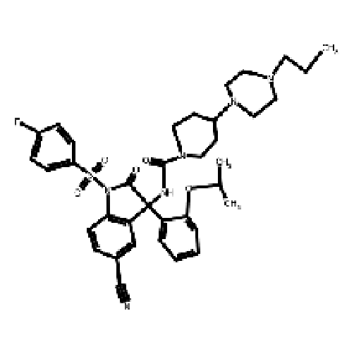 CCCN1CCN(C2CCN(C(=O)NC3(c4ccccc4OC(C)C)C(=O)N(S(=O)(=O)c4ccc(F)cc4)c4ccc(C#N)cc43)CC2)CC1